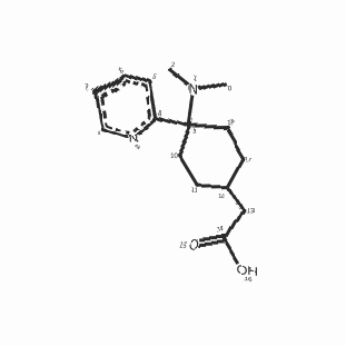 CN(C)C1(c2ccccn2)CCC(CC(=O)O)CC1